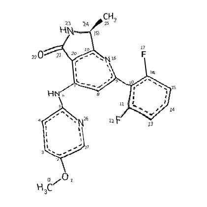 COc1ccc(Nc2cc(-c3c(F)cccc3F)nc3c2C(=O)N[C@H]3C)nc1